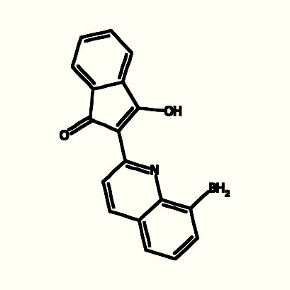 Bc1cccc2ccc(C3=C(O)c4ccccc4C3=O)nc12